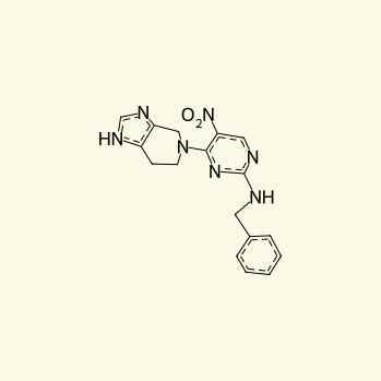 O=[N+]([O-])c1cnc(NCc2ccccc2)nc1N1CCc2[nH]cnc2C1